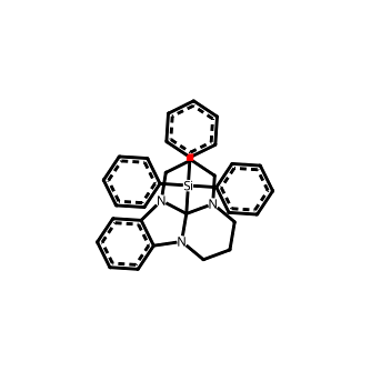 c1ccc([Si](c2ccccc2)(c2ccccc2)C23N4CCCN2c2ccccc2N3CCC4)cc1